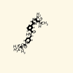 CNC(=O)c1nc(-c2cccc(C(=O)NCC3CCN(C(=O)OC(C)(C)C)CC3)c2)cnc1N